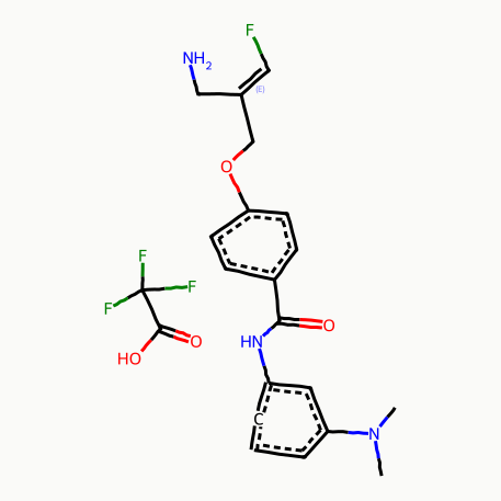 CN(C)c1cccc(NC(=O)c2ccc(OC/C(=C/F)CN)cc2)c1.O=C(O)C(F)(F)F